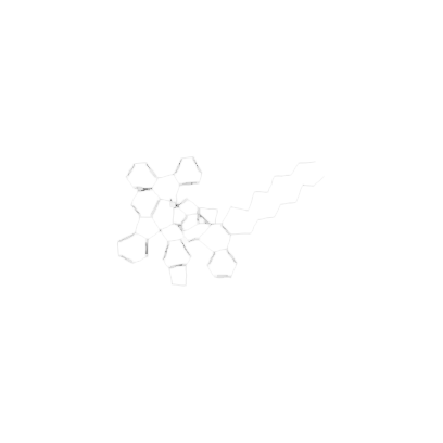 CCCCCCCCc1c(CCCCCCCC)c2cc(N(c3ccccc3-c3ccccc3)c3cccc4c3C(c3ccc5c(c3)CC5)(c3ccc5c(c3)CC5)c3ccccc3-4)ccc2c2ccccc12